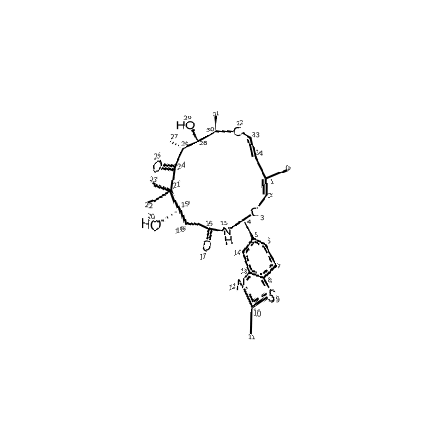 CC1=C/C[C@@H](c2ccc3sc(C)nc3c2)NC(=O)C[C@H](O)C(C)(C)C(=O)[C@H](C)[C@@H](O)[C@@H](C)C\C=C\1